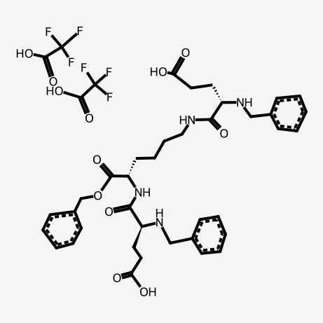 O=C(O)C(F)(F)F.O=C(O)C(F)(F)F.O=C(O)CC[C@H](NCc1ccccc1)C(=O)NCCCC[C@H](NC(=O)[C@H](CCC(=O)O)NCc1ccccc1)C(=O)OCc1ccccc1